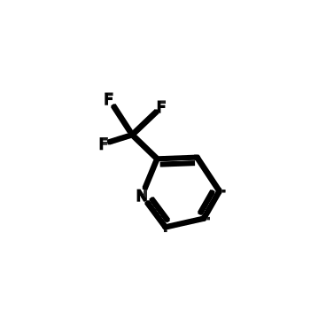 FC(F)(F)c1c[c][c][c]n1